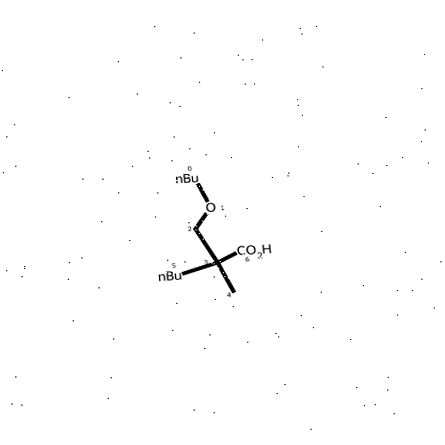 CCCCOCC(C)(CCCC)C(=O)O